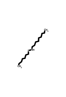 CCCCCCCCCNSCCCCCCC